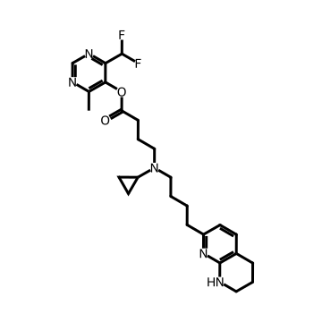 Cc1ncnc(C(F)F)c1OC(=O)CCCN(CCCCc1ccc2c(n1)NCCC2)C1CC1